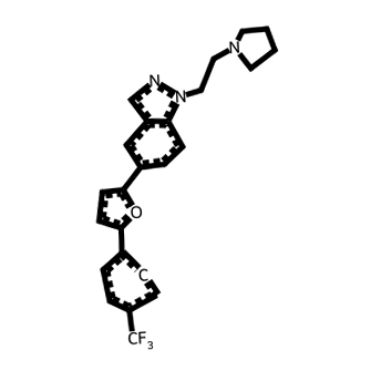 FC(F)(F)c1ccc(-c2ccc(-c3ccc4c(cnn4CCN4CCCC4)c3)o2)cc1